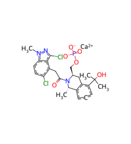 C[C@H]1c2cccc(C(C)(C)O)c2C[C@H](COP(=O)([O-])[O-])N1C(=O)Cc1c(Cl)ccc2c1c(Cl)nn2C.[Ca+2]